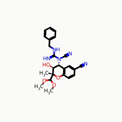 COC(OC)[C@@]1(C)Oc2ccc(C#N)cc2[C@@H](N(C#N)C(=N)NCc2ccccc2)[C@@H]1O